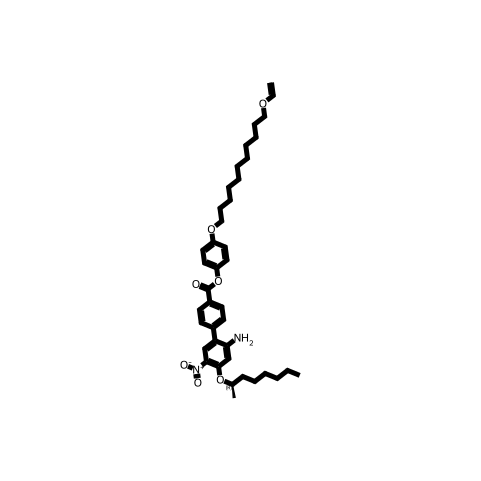 C=COCCCCCCCCCCCOc1ccc(OC(=O)c2ccc(-c3cc([N+](=O)[O-])c(O[C@H](C)CCCCCC)cc3N)cc2)cc1